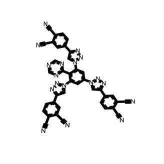 N#Cc1ccc(-c2cn(-c3cc(-n4cc(-c5ccc(C#N)c(C#N)c5)nn4)c(-c4ncncn4)c(-n4cc(-c5ccc(C#N)c(C#N)c5)nn4)c3)nn2)cc1C#N